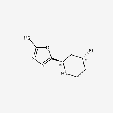 CC[C@@H]1CCN[C@@H](c2nnc(S)o2)C1